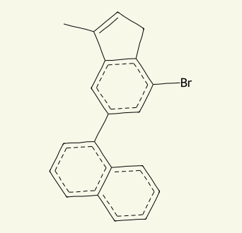 CC1=CCc2c(Br)cc(-c3cccc4ccccc34)cc21